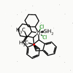 CC1=Cc2ccccc2[CH]1[Zr](=[SiH2])([Cl])([Cl])([CH]1CCCCC1)([CH]1CCCCC1)[CH]1C(C)=Cc2ccccc21